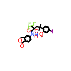 COc1cc(I)ccc1C(C)(C)CC(O)(C(=O)Nc1ccc2c(c1)COC2=O)C(F)(F)F